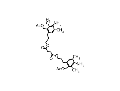 CC(=O)OCc1c(CCCOC(=O)CCC(=O)OCCCc2cc(C)c(N)c(C)c2COC(C)=O)cc(C)c(N)c1C